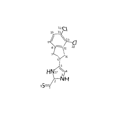 S=CC1NC=C(C2Cc3ccc(Cl)c(Cl)c3C2)N1